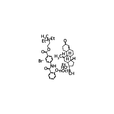 C#C[C@]1(O)CC[C@H]2[C@@H]3CCC4=CC(=O)CC[C@@H]4[C@H]3C(=C)C[C@@]21CC.CCCCCCCCOc1ccccc1C(=O)Nc1ccc(C(=O)OCC[N+](C)(CC)CC)cc1.[Br-]